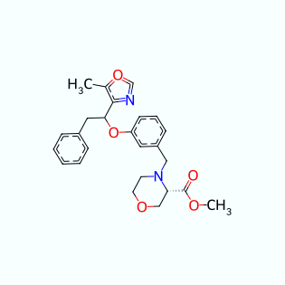 COC(=O)[C@@H]1COCCN1Cc1cccc(OC(Cc2ccccc2)c2ncoc2C)c1